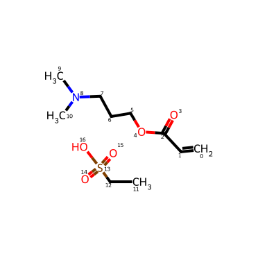 C=CC(=O)OCCCN(C)C.CCS(=O)(=O)O